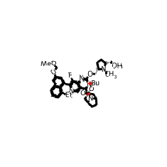 CCc1cccc2cc(OCOC)cc(-c3ncc4c(N5CC6CCC(C5)N6C(=O)OC(C)(C)C)nc(OC[C@@H]5CC[C@H](CO)N5C)nc4c3F)c12